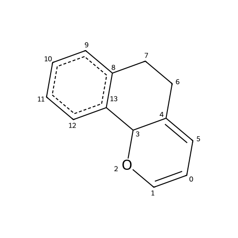 C1=COC2C(=C1)CCc1ccccc12